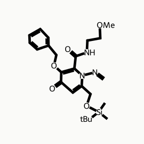 C=Nn1c(CO[Si](C)(C)C(C)(C)C)cc(=O)c(OCc2ccccc2)c1C(=O)NCCOC